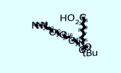 CC(C)(C)OC(=O)N(CCCCCCCC(=O)O)CCOCCOCCOCCN=[N+]=[N-]